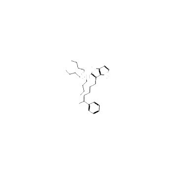 CCC[CH2][Sn]([CH2]CCC)([CH2]CCC)[c]1sc2ccsc2c1CCCCC(C)c1ccccc1